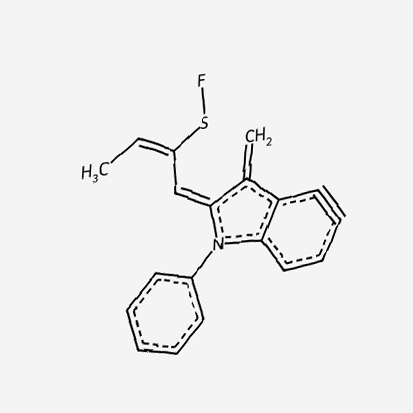 C=c1/c(=C\C(=C/C)SF)n(-c2ccccc2)c2ccc#cc12